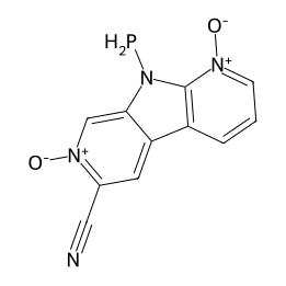 N#Cc1cc2c3ccc[n+]([O-])c3n(P)c2c[n+]1[O-]